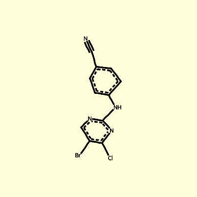 N#Cc1ccc(Nc2ncc(Br)c(Cl)n2)cc1